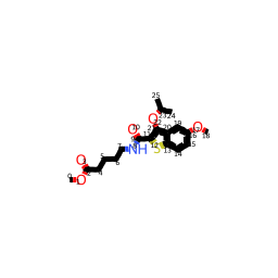 COC(=O)CCCCNC(=O)c1sc2ccc(OC)cc2c1OC(C)C